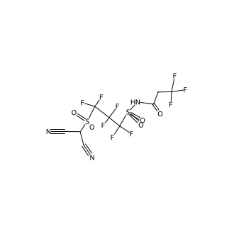 N#CC(C#N)S(=O)(=O)C(F)(F)C(F)(F)C(F)(F)S(=O)(=O)NC(=O)CC(F)(F)F